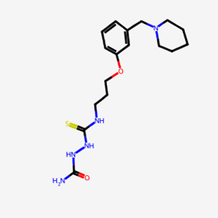 NC(=O)NNC(=S)NCCCOc1cccc(CN2CCCCC2)c1